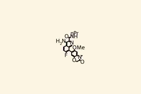 CCCNC(=O)c1ncc2c(-c3cc4c(cc3OC)N(C)C(=O)CO4)c(F)ccc2c1N